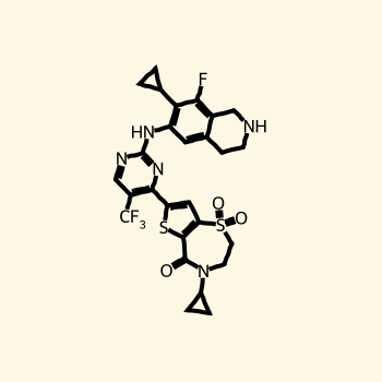 O=C1c2sc(-c3nc(Nc4cc5c(c(F)c4C4CC4)CNCC5)ncc3C(F)(F)F)cc2S(=O)(=O)CCN1C1CC1